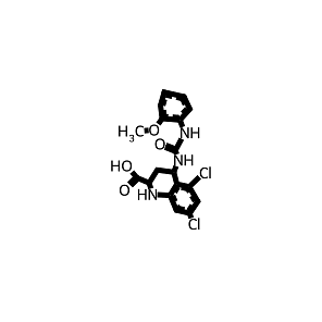 COc1ccccc1NC(=O)NC1CC(C(=O)O)Nc2cc(Cl)cc(Cl)c21